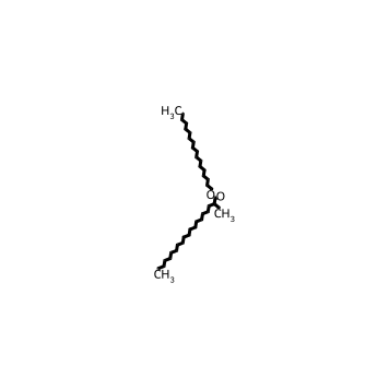 CCCCCCCCCCCCCCCCCCOC(=O)C(CC)CCCCCCCCCCCCCCCCCC